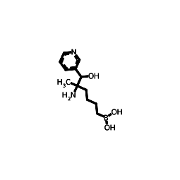 CC(N)(CCCCB(O)O)C(O)c1cccnc1